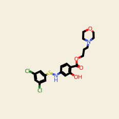 O=C(OCCCN1CCOCC1)c1ccc(NSc2cc(Cl)cc(Cl)c2)cc1O